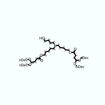 CCCCCCCCCCOC(CCC(=O)OCCCCCN(CCCCO)CCCCCOC(=O)CCC(OCCCCCCCCCC)OCCCCCCCCCC)OCCCCCCCCCC